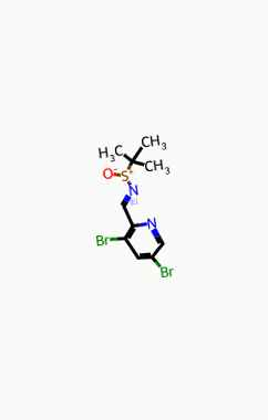 CC(C)(C)[S+]([O-])/N=C/c1ncc(Br)cc1Br